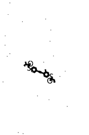 C=CC(=O)Sc1ccc(C#Cc2ccc(SC(=O)C(=C)C)cc2)c(C)c1